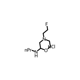 CCCNC1CN(CCF)CCO1.Cl